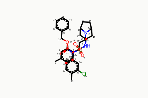 Cc1ccc(S(=O)(=O)NC2CC3CCC(C2)N3CCCN(C(=O)OCc2ccccc2)c2ccc(C)c(Cl)c2)cc1